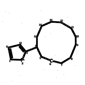 C1=C[P]C(C2CCCCCCCCCCC2)=C1